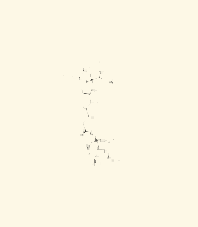 CCCCOC(OCC)C(OCCCC)(OCCCC)OC(=O)CCCCC(=O)OC(OCCCC)(OCCCC)C(OCC)OCCCC